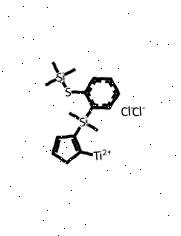 C[Si](C)(C)Sc1ccccc1[Si](C)(C)C1=[C]([Ti+2])CC=C1.[Cl-].[Cl-]